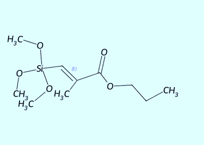 CCCOC(=O)/C(C)=C/[Si](OC)(OC)OC